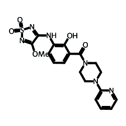 COC1=NS(=O)(=O)N=C1Nc1cccc(C(=O)N2CCN(c3ccccn3)CC2)c1O